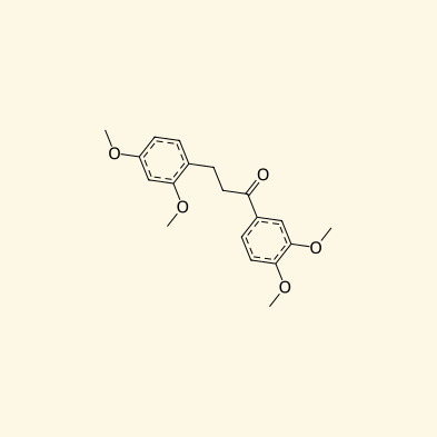 COc1ccc(CCC(=O)c2ccc(OC)c(OC)c2)c(OC)c1